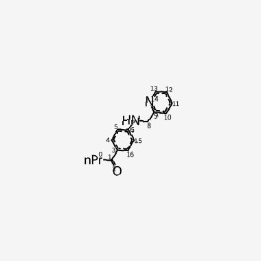 CCCC(=O)c1ccc(NCc2ccccn2)cc1